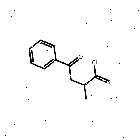 CC(CC(=O)c1ccccc1)C(=S)Cl